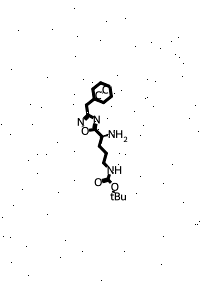 CC(C)(C)OC(=O)NCCC[C@H](N)c1nc(CC23CCC(CC2)CC3)no1